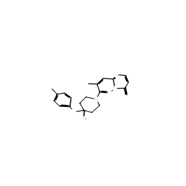 BC1(Oc2ccc(C)cc2)CCN(c2nn3c(=O)ccnc3cc2C)CC1